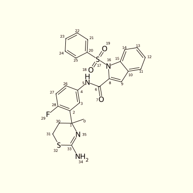 CC1(c2cc(NC(=O)c3cc4ccccc4n3S(=O)(=O)c3ccccc3)ccc2F)CCSC(N)=N1